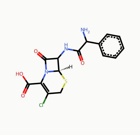 NC(C(=O)NC1C(=O)N2C(C(=O)O)=C(Cl)CS[C@H]12)c1ccccc1